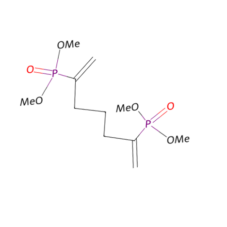 C=C(CCCC(=C)P(=O)(OC)OC)P(=O)(OC)OC